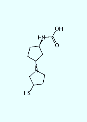 O=C(O)N[C@@H]1CC[C@H](N2CCC(S)C2)C1